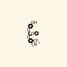 N#Cc1ccc(OC(CCOc2ccc(O)cc2)COC2CCCC2)cc1C(F)(F)F